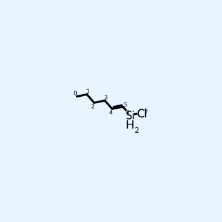 CCCCC=C[SiH2]Cl